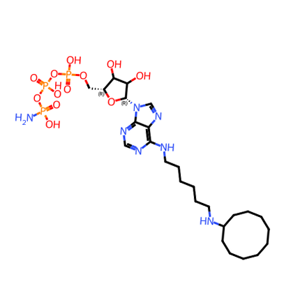 NP(=O)(O)OP(=O)(O)OP(=O)(O)OC[C@H]1O[C@@H](n2cnc3c(NCCCCCCNC4CCCCCCCCC4)ncnc32)C(O)C1O